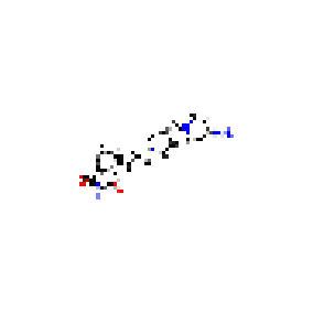 NC1CCN(CC2CCN(CCCc3cccc4c3C(=O)NC4=O)CC2)CC1